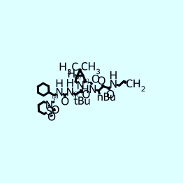 C=CCNC(=O)C(=O)C(CCCC)NC(=O)[C@@H]1C2[C@H](CN1C(=O)[C@@H](NC(=O)N[C@H](CN1CCCCS1(=O)=O)C1CCCCC1)C(C)(C)C)C2(C)C